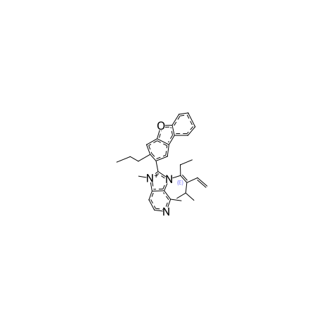 C=C/C(=C(\CC)n1c(-c2cc3c(cc2CCC)oc2ccccc23)[n+](C)c2ccnc(C)c21)C(C)C